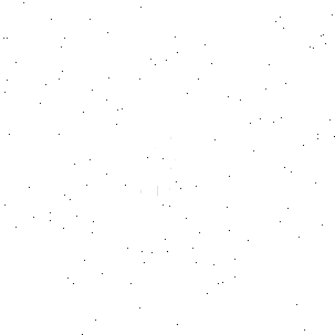 S.[Cd].[TeH2].[Zn]